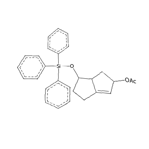 CC(=O)OC1C=C2CCC(O[Si](c3ccccc3)(c3ccccc3)c3ccccc3)C2C1